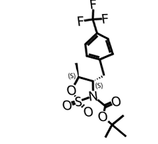 C[C@@H]1OS(=O)(=O)N(C(=O)OC(C)(C)C)[C@H]1Cc1ccc(C(F)(F)F)cc1